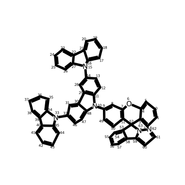 c1ccc2c(c1)Oc1cc(-n3c4ccc(-n5c6ccccc6c6ccccc65)cc4c4cc(-n5c6ccccc6c6ccccc65)ccc43)ccc1C21c2ccccc2-c2ccnn21